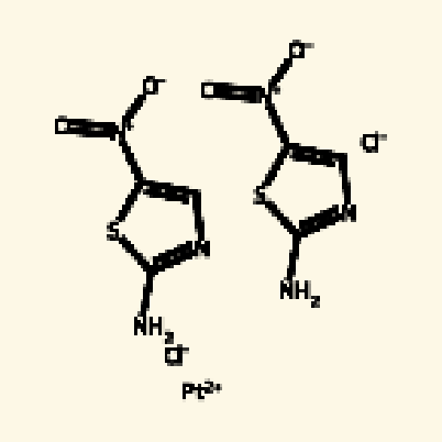 Nc1ncc([N+](=O)[O-])s1.Nc1ncc([N+](=O)[O-])s1.[Cl-].[Cl-].[Pt+2]